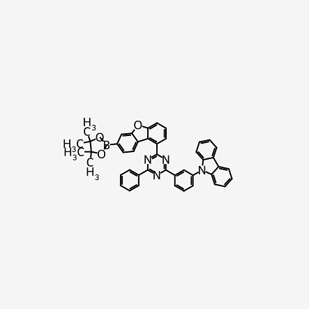 CC1(C)OB(c2ccc3c(c2)oc2cccc(-c4nc(-c5ccccc5)nc(-c5cccc(-n6c7ccccc7c7ccccc76)c5)n4)c23)OC1(C)C